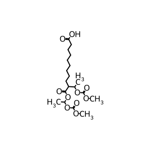 COC(=O)OC(C)OC(=O)C(CCCCCCCCC(=O)O)C(C)OC(=O)OC